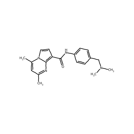 Cc1cc(C)n2ccc(C(=O)Nc3ccc(CN(C)C)cc3)c2n1